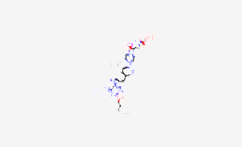 CCCCOc1nc(N)c2ncc(Cc3cnc(N4CCN(C(=O)CNC(=O)O)CC4)c(C)c3)n2n1